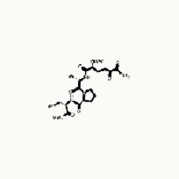 COC(=O)[C@H](CC(C)C)NC(=O)[C@@H]1CCCN1C(=O)[C@@H](NC(=O)[C@H](CCC(=O)C(N)=O)NC(C)=O)C(C)C